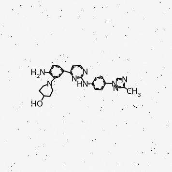 Cc1ncn(-c2ccc(Nc3nccc(-c4ccc(N)c(N5CCC(O)CC5)c4)n3)cc2)n1